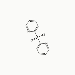 O=P(Cl)(c1ccccn1)c1ccccn1